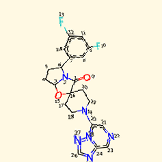 O=C1N2C(CCC2c2cc(F)cc(F)c2)OC12CCN(c1cncc3ncnn13)CC2